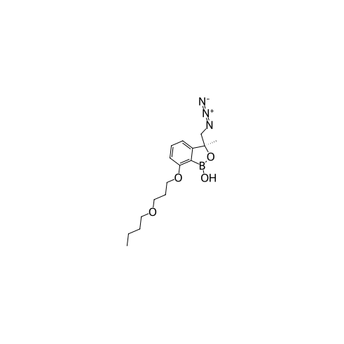 CCCCOCCCOc1cccc2c1B(O)O[C@]2(C)CN=[N+]=[N-]